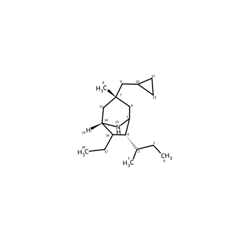 CCC(C)[C@H]1C2C[C@@](C)(CC3CC3)C[C@H](N2)C1CC